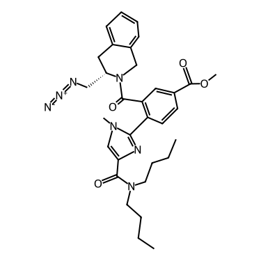 CCCCN(CCCC)C(=O)c1cn(C)c(-c2ccc(C(=O)OC)cc2C(=O)N2Cc3ccccc3C[C@H]2CN=[N+]=[N-])n1